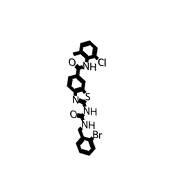 Cc1cccc(Cl)c1NC(=O)c1ccc2nc(NC(=O)NCc3ccccc3Br)sc2c1